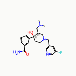 CN(C)C[C@H]1CN(Cc2cncc(F)c2)CC[C@]1(O)c1cccc(C(N)=O)c1